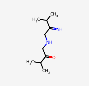 CC(C)C(=N)CNCC(=O)C(C)C